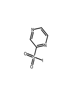 O=S(=O)(I)c1cnccn1